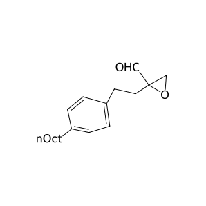 CCCCCCCCc1ccc(CCC2(C=O)CO2)cc1